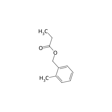 CCC(=O)OCc1ccccc1C